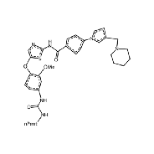 CCCCCNC(=O)Nc1ccc(Oc2cnc(NC(=O)c3ccc(-n4ccc(CN5CCCCC5)c4)cc3)s2)c(OC)c1